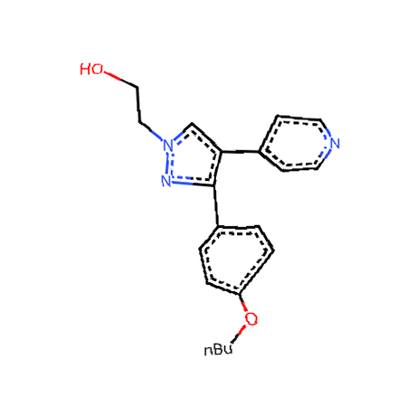 CCCCOc1ccc(-c2nn(CCO)cc2-c2ccncc2)cc1